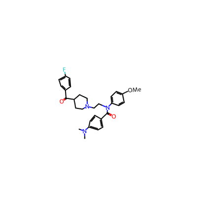 COc1ccc(N(CCN2CCC(C(=O)c3ccc(F)cc3)CC2)C(=O)c2ccc(N(C)C)cc2)cc1